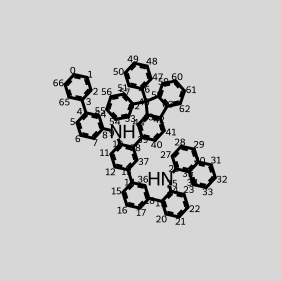 c1ccc(-c2cccc(Nc3ccc(-c4cccc(-c5ccccc5Nc5cccc6ccccc56)c4)cc3-c3ccc4c(c3)C(c3ccccc3)(c3ccccc3)c3ccccc3-4)c2)cc1